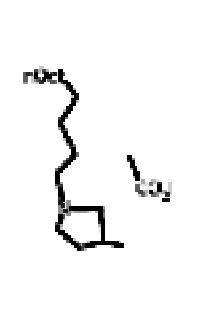 CC(=O)O.CCCCCCCCCCCCN1CCC(C)C1